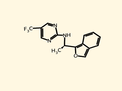 C[C@@H](Nc1ncc(C(F)(F)F)cn1)c1occ2ccccc12